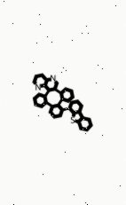 c1ccc2c(c1)-c1cnc3cccnc3c1-c1ccccc1-c1cccc(-c3cccc4c3sc3ccccc34)c1-2